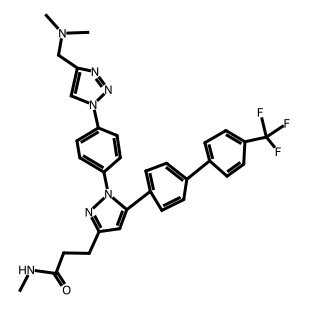 CNC(=O)CCc1cc(-c2ccc(-c3ccc(C(F)(F)F)cc3)cc2)n(-c2ccc(-n3cc(CN(C)C)nn3)cc2)n1